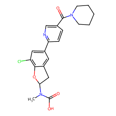 CN(C(=O)O)C1Cc2cc(-c3ccc(C(=O)N4CCCCC4)cn3)cc(Cl)c2O1